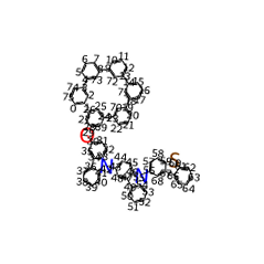 c1ccc(-c2cccc(-c3cccc(-c4cccc(-c5cccc(-c6cccc(Oc7ccc8c(c7)c7ccccc7n8-c7ccc8c(c7)c7ccccc7n8-c7ccc8sc9ccccc9c8c7)c6)c5)c4)c3)c2)cc1